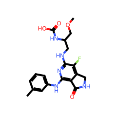 COCC(CNc1nc(Nc2cccc(C)c2)c2c(c1F)CNC2=O)NC(=O)O